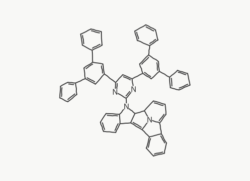 C1=CC2C3C(=c4c5ccccc5c(n42)=C1)c1ccccc1N3c1nc(-c2cc(-c3ccccc3)cc(-c3ccccc3)c2)cc(-c2cc(-c3ccccc3)cc(-c3ccccc3)c2)n1